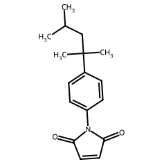 CC(C)CC(C)(C)c1ccc(N2C(=O)C=CC2=O)cc1